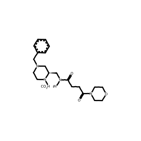 CC(C)N(C[C@@H]1CN(Cc2ccccc2)CCN1C(=O)O)C(=O)CCC(=O)N1CCOCC1